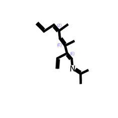 C=C\C=C(C)/C=C(C)/C(C=C)=C/N=C(C)C